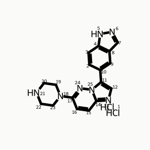 Cl.Cl.c1cc2[nH]ncc2cc1-c1cnc2ccc(N3CCNCC3)nn12